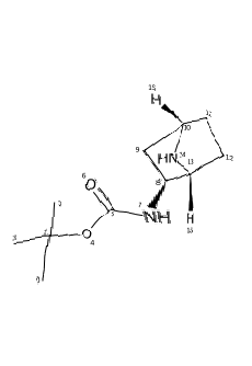 CC(C)(C)OC(=O)N[C@H]1C[C@@H]2CC[C@H]1N2